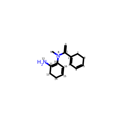 C=C(C1=CC=CCC1)N(C)C1=C(N)CCC=C1